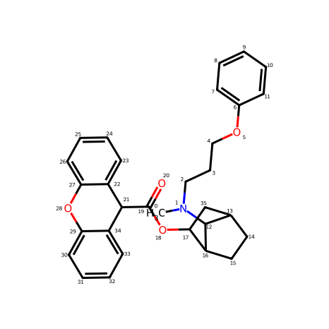 CN(CCCOc1ccccc1)C1C2CCC1C(OC(=O)C1c3ccccc3Oc3ccccc31)C2